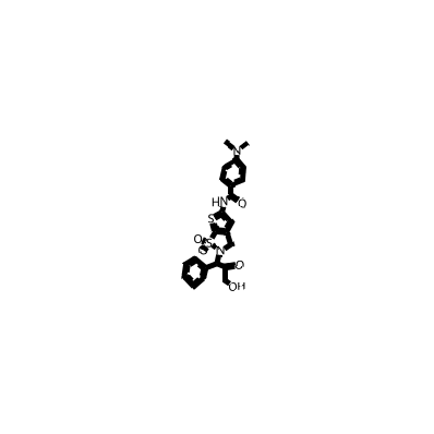 CN(C)c1ccc(C(=O)Nc2cc3c(s2)S(=O)(=O)N(C(C(=O)CO)c2ccccc2)C3)cc1